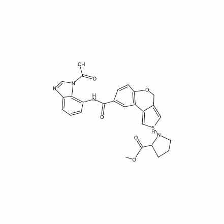 COC(=O)C1CCCN1[SH]1C=C2COc3ccc(C(=O)Nc4cccc5ncn(C(=O)O)c45)cc3C2=C1